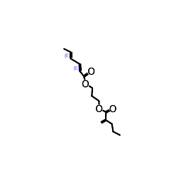 C=C(CCC)C(=O)OCCCOC(=O)/C=C/C=C/C